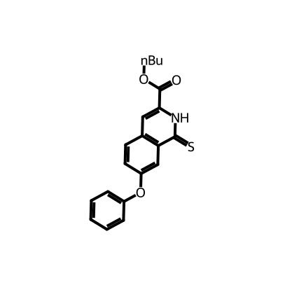 CCCCOC(=O)c1cc2ccc(Oc3ccccc3)cc2c(=S)[nH]1